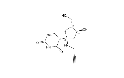 C#CCN[C@]1(n2ccc(=O)[nH]c2=O)C[C@H](O)[C@@H](CO)O1